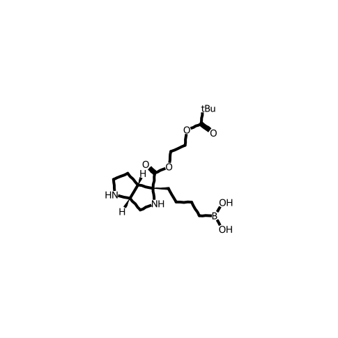 CC(C)(C)C(=O)OCCOC(=O)[C@]1(CCCCB(O)O)NC[C@@H]2NCC[C@@H]21